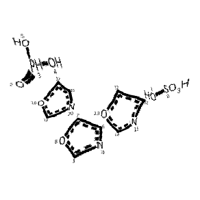 O=S(=O)(O)O.O=[PH](O)O.c1cocn1.c1cocn1.c1cocn1